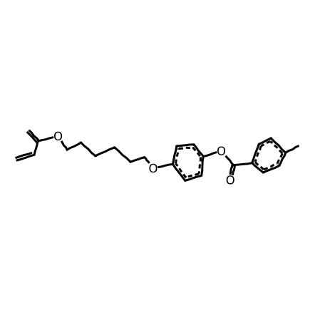 C=CC(=C)OCCCCCCOc1ccc(OC(=O)c2ccc(C)cc2)cc1